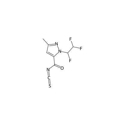 Cc1cc(C(=O)N=C=S)n(C(F)C(F)F)n1